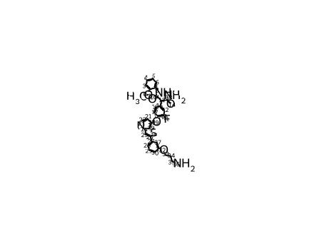 COc1ccccc1NC(=O)C(C(N)=O)c1ccc(Oc2ccnc3cc(-c4cccc(OCCCN)c4)sc23)c(F)c1